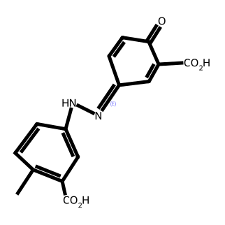 Cc1ccc(N/N=C2\C=CC(=O)C(C(=O)O)=C2)cc1C(=O)O